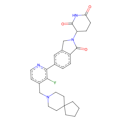 O=C1CCC(N2Cc3cc(-c4nccc(CN5CCC6(CCCC6)CC5)c4F)ccc3C2=O)C(=O)N1